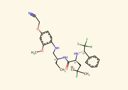 CC[C@@H](CNc1ccc(OCC#N)cc1OC)NC(=O)[C@H](CC(C)(C)F)N[C@@H](c1ccccc1)C(F)(F)F